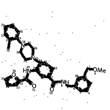 COCc1cccc(CNC(=O)c2ccc(N3CCN(c4ccccc4C)CC3)c(NC(=O)c3ccco3)c2)c1